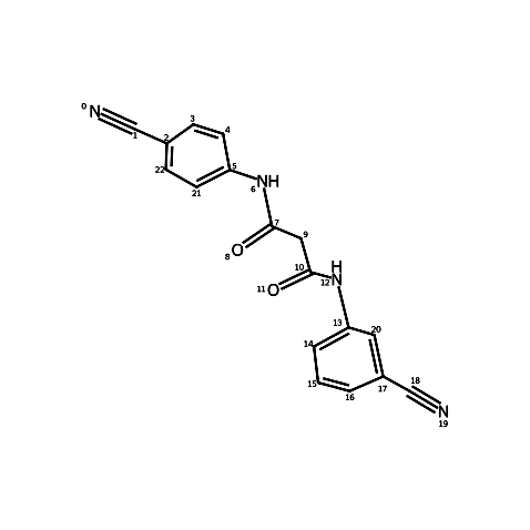 N#Cc1ccc(NC(=O)CC(=O)Nc2cccc(C#N)c2)cc1